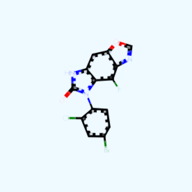 O=c1[nH]c2cc3ocnc3c(F)c2n1-c1ccc(Br)cc1Cl